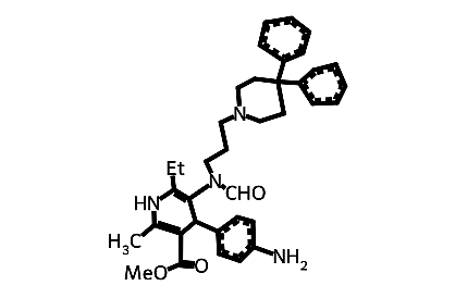 CCC1=C(N(C=O)CCCN2CCC(c3ccccc3)(c3ccccc3)CC2)C(c2ccc(N)cc2)C(C(=O)OC)=C(C)N1